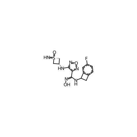 N=[S@]1(=O)C[C@H](Nc2nonc2/C(=N/O)NC2Cc3ccc(F)cc32)C1